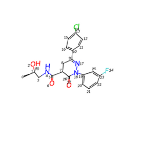 C[C@@H](O)CNC(=O)C1CC(c2ccc(Cl)cc2)=NN(c2cccc(F)c2)C1=O